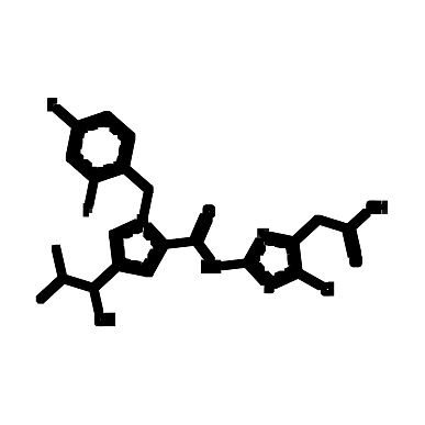 CC(C)C(O)c1cc(C(=O)Nc2nc(CC(=O)O)c(Cl)s2)n(Cc2ccc(F)cc2F)c1